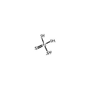 S=[As](S)(S)S